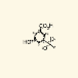 CS(=O)(=O)c1cc(O)cc(C(=O)O)c1